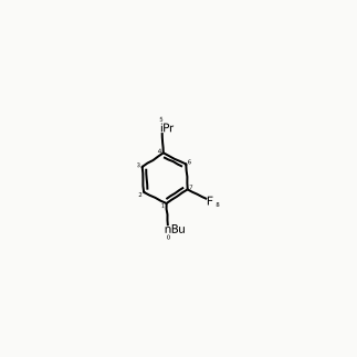 CCCCc1ccc(C(C)C)cc1F